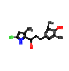 CC(C)(C)c1cc(CCC(=O)c2[nH]c(Cl)cc2C(F)(F)F)cc(C(C)(C)C)c1O